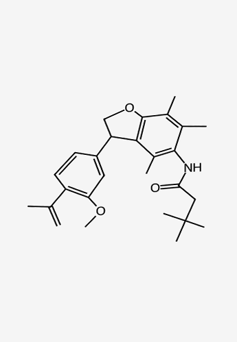 C=C(C)c1ccc(C2COc3c(C)c(C)c(NC(=O)CC(C)(C)C)c(C)c32)cc1OC